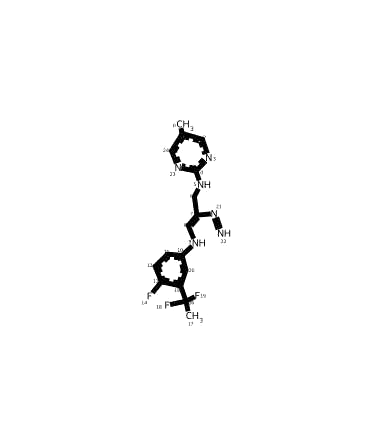 Cc1cnc(NC/C(=C/Nc2ccc(F)c(C(C)(F)F)c2)N=N)nc1